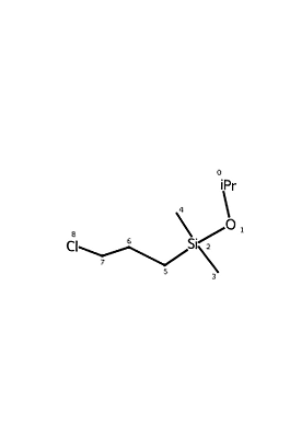 CC(C)O[Si](C)(C)CCCCl